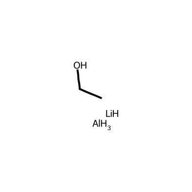 CCO.[AlH3].[LiH]